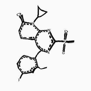 Cc1cc(F)ccc1-c1nc(S(C)(=O)=O)nc2c1ccc(=O)n2C1CC1